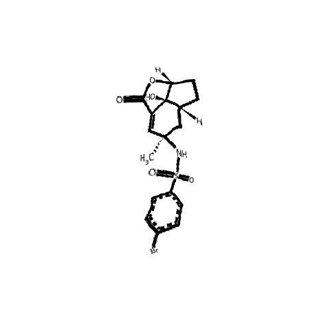 C[C@]1(NS(=O)(=O)c2ccc(Br)cc2)C=C2C(=O)O[C@@H]3CC[C@H](C1)[C@]23O